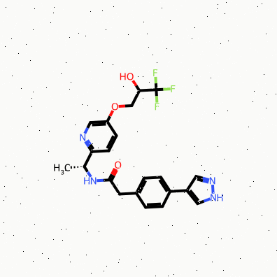 C[C@@H](NC(=O)Cc1ccc(-c2cn[nH]c2)cc1)c1ccc(OCC(O)C(F)(F)F)cn1